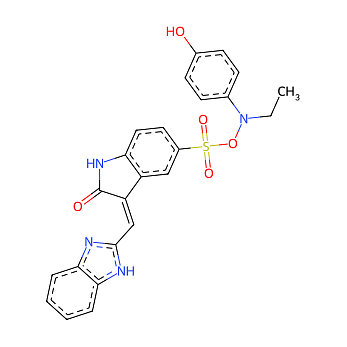 CCN(OS(=O)(=O)c1ccc2c(c1)C(=Cc1nc3ccccc3[nH]1)C(=O)N2)c1ccc(O)cc1